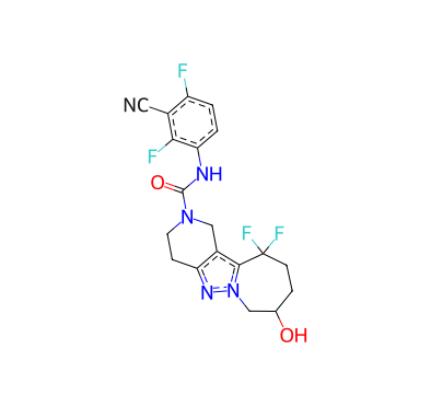 N#Cc1c(F)ccc(NC(=O)N2CCc3nn4c(c3C2)C(F)(F)CCC(O)C4)c1F